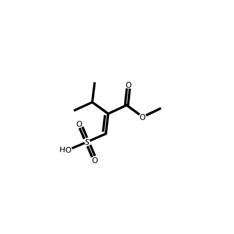 COC(=O)C(=CS(=O)(=O)O)C(C)C